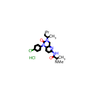 CN[C@@H](C)C(=O)Nc1ccc2c(n1)CN(C(C)CC(C)C)C(=O)N2c1ccc(Cl)cc1.Cl